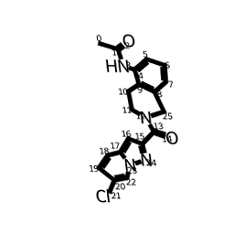 CC(=O)Nc1cccc2c1CCN(C(=O)c1cc3ccc(Cl)cn3n1)C2